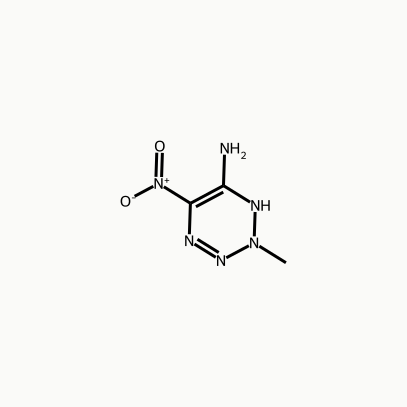 CN1N=NC([N+](=O)[O-])=C(N)N1